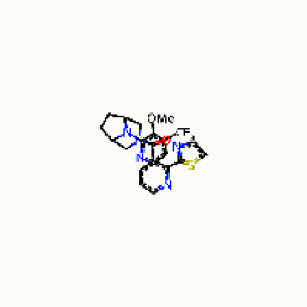 COc1c(C(F)(F)F)ccnc1N1C2CCC1CN(C(=O)c1cccnc1-c1nccs1)C2